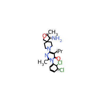 Cc1nc(N2CCC3(CC2)CO[C@H](C)[C@@H]3N)c(C(C)C)c(=O)n1C1=CC=C[C@H](Cl)C1Cl